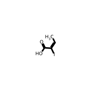 C/C=C(/I)C(=O)O